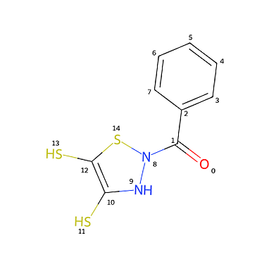 O=C(c1ccccc1)N1NC(S)=C(S)S1